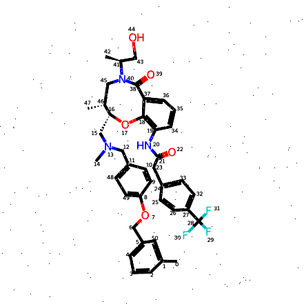 Cc1cccc(COc2ccc(CN(C)C[C@H]3Oc4c(NC(=O)Cc5ccc(C(F)(F)F)cc5)cccc4C(=O)N([C@@H](C)CO)C[C@H]3C)cc2)c1